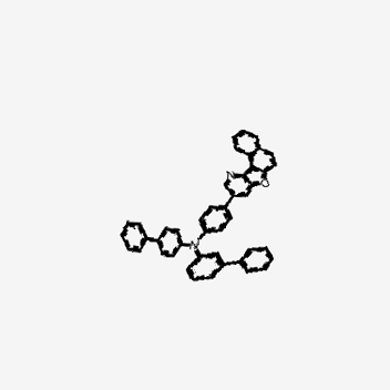 c1ccc(-c2ccc(N(c3ccc(-c4cnc5c(c4)oc4ccc6ccccc6c45)cc3)c3cccc(-c4ccccc4)c3)cc2)cc1